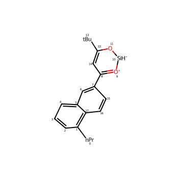 CCCc1cccc2cc(C3=[O+][SiH-]OC(C(C)(C)C)=C3)ccc12